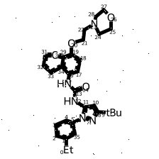 CCc1cccc(-n2nc(C(C)(C)C)cc2NC(=O)Nc2ccc(OCCN3CCOCC3)c3ccccc23)c1